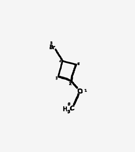 COC1CC(Br)C1